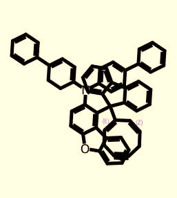 C1#CC/C=C(C2(c3c(N(C4=CC=C(c5ccccc5)CC4)c4ccc(-c5ccccc5)cc4)ccc4oc5ccccc5c34)c3ccccc3-c3ccccc32)\C=C/C1